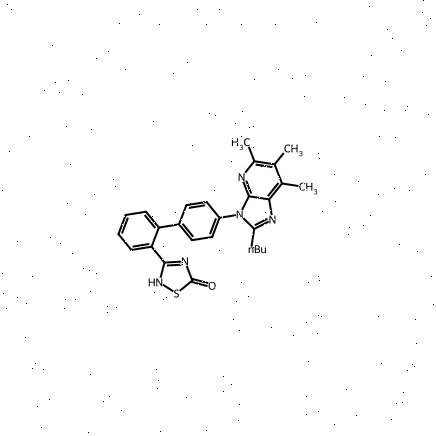 CCCCc1nc2c(C)c(C)c(C)nc2n1-c1ccc(-c2ccccc2-c2nc(=O)s[nH]2)cc1